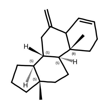 C=C1C[C@H]2[C@@H]3CCC[C@@]3(C)CC[C@@H]2[C@@]2(C)CCC=CC12